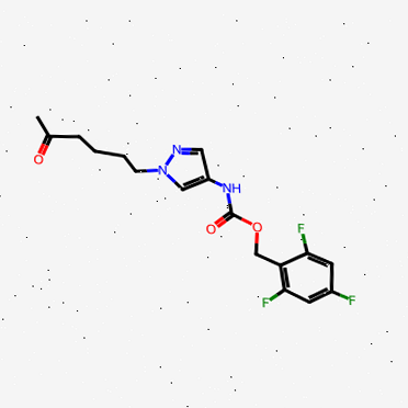 CC(=O)CCCCn1cc(NC(=O)OCc2c(F)cc(F)cc2F)cn1